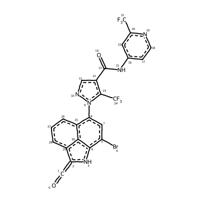 O=C=c1[nH]c2c(Br)cc(-n3ncc(C(=O)Nc4ccnc(C(F)(F)F)c4)c3C(F)(F)F)c3cccc1c32